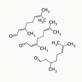 CC(C)=CCC/C(C)=C/C=O.CC(C)=CCC/C(C)=C\C=O.CC(C)=CCCC(C)CC=O